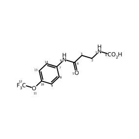 O=C(O)NCCC(=O)Nc1ccc(OC(F)(F)F)cc1